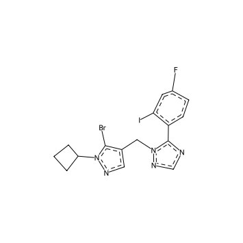 Fc1ccc(-c2ncnn2Cc2cnn(C3CCC3)c2Br)c(I)c1